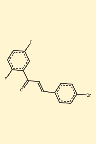 O=C(C=Cc1ccc(Br)cc1)c1cc(F)ccc1F